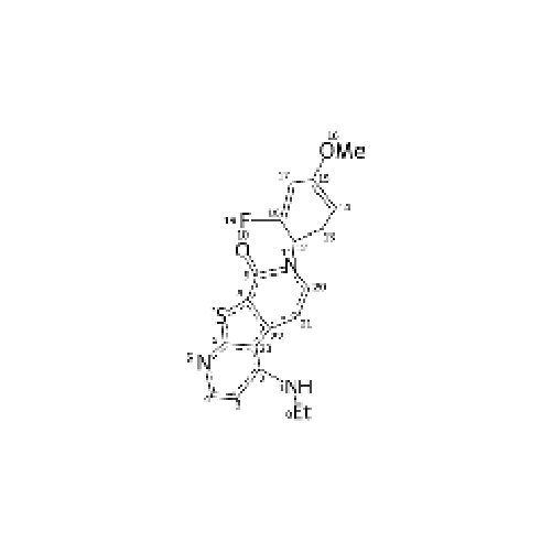 CCNc1ccnc2sc3c(=O)n(C4CC=C(OC)C=C4F)ccc3c12